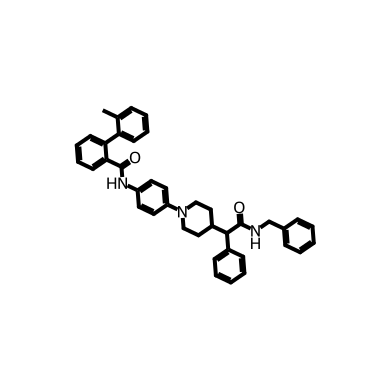 Cc1ccccc1-c1ccccc1C(=O)Nc1ccc(N2CCC(C(C(=O)NCc3ccccc3)c3ccccc3)CC2)cc1